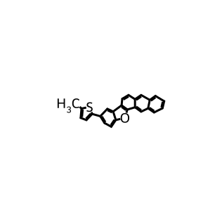 Cc1ccc(-c2ccc3oc4c5cc6ccccc6cc5ccc4c3c2)s1